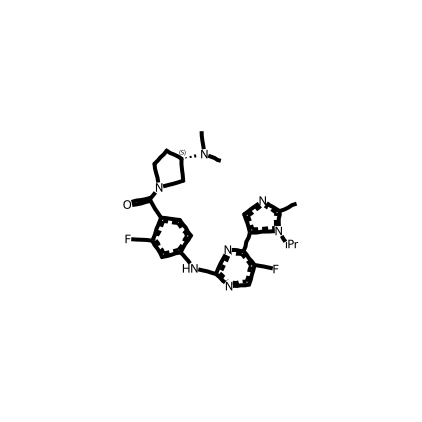 Cc1ncc(-c2nc(Nc3ccc(C(=O)N4CC[C@H](N(C)C)C4)c(F)c3)ncc2F)n1C(C)C